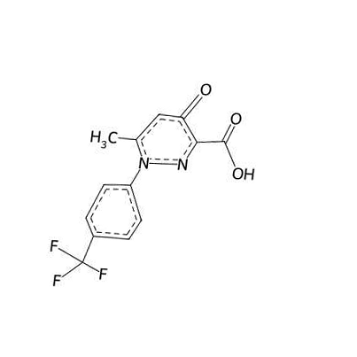 Cc1cc(=O)c(C(=O)O)nn1-c1ccc(C(F)(F)F)cc1